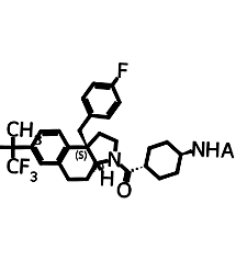 CC(=O)N[C@H]1CC[C@H](C(=O)N2CC[C@@]3(Cc4ccc(F)cc4)c4ccc(C(C)(F)C(F)(F)F)cc4CC[C@@H]23)CC1